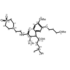 COCCCOc1cc(C([C@@H](C)C(=O)NCCN2CCS(=O)(=O)CC2)[C@H](O)[C@@H](N)C[C@H](C)C(C)C)ccc1OC